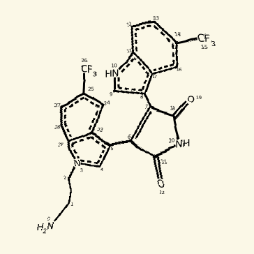 NCCn1cc(C2=C(c3c[nH]c4ccc(C(F)(F)F)cc34)C(=O)NC2=O)c2cc(C(F)(F)F)ccc21